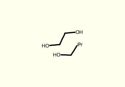 CC(C)CO.OCCO